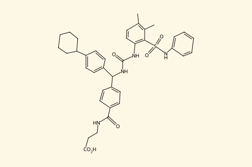 Cc1ccc(NC(=O)NC(c2ccc(C(=O)NCCC(=O)O)cc2)c2ccc(C3CCCCC3)cc2)c(S(=O)(=O)Nc2ccccc2)c1C